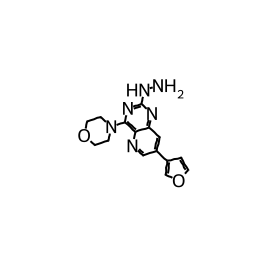 NNc1nc(N2CCOCC2)c2ncc(-c3ccoc3)cc2n1